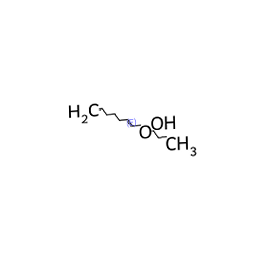 C=CCCC/C=C/COC(O)CCC